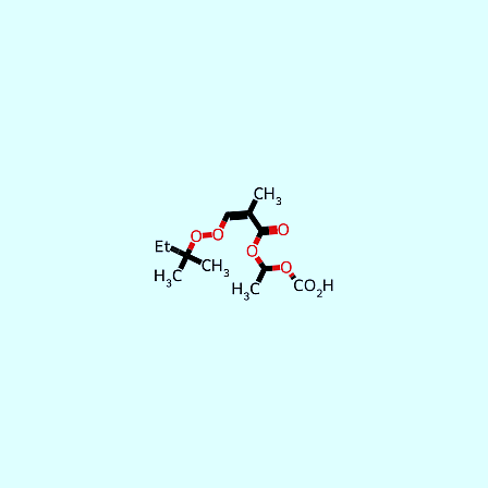 CCC(C)(C)OOC=C(C)C(=O)OC(C)OC(=O)O